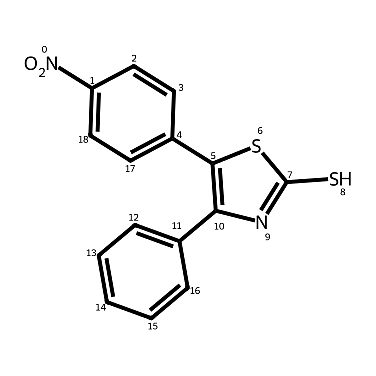 O=[N+]([O-])c1ccc(-c2sc(S)nc2-c2ccccc2)cc1